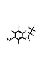 Nc1c(F)c(F)c(OC(F)(C(F)F)C(F)(F)F)c(F)c1F